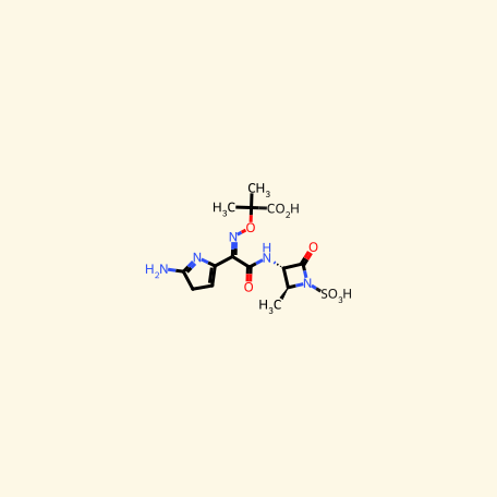 C[C@H]1[C@H](NC(=O)/C(=N\OC(C)(C)C(=O)O)C2=CCC(N)=N2)C(=O)N1S(=O)(=O)O